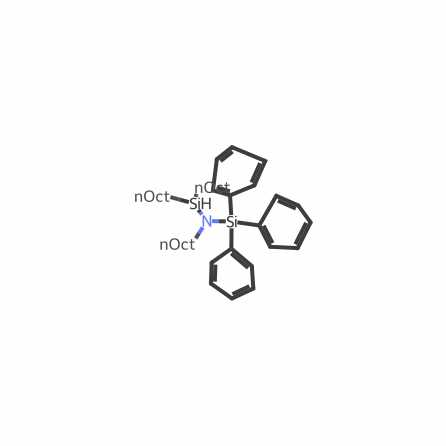 CCCCCCCCN([SiH](CCCCCCCC)CCCCCCCC)[Si](c1ccccc1)(c1ccccc1)c1ccccc1